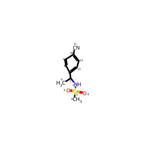 CC(NS(C)(=O)=O)c1ccc(C#N)cc1